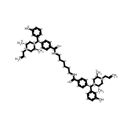 C=CCN1C[C@H](C)N([C@H](c2ccc(C(=O)NCCCCCCNC(=O)c3ccc([C@H](c4cccc(O)c4)N4C[C@@H](C)N(CC=C)C[C@@H]4C)cc3)cc2)c2cccc(O)c2)C[C@H]1C